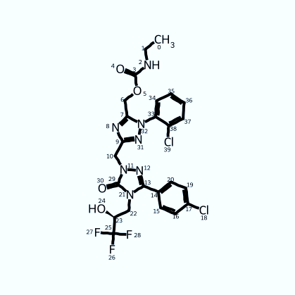 CCNC(=O)OCc1nc(Cn2nc(-c3ccc(Cl)cc3)n(C[C@H](O)C(F)(F)F)c2=O)nn1-c1ccccc1Cl